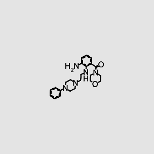 Nc1cccc(C(=O)N2CCOCC2)c1NCCN1CCN(c2ccccc2)CC1